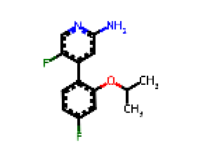 CC(C)Oc1cc(F)ccc1-c1cc(N)ncc1F